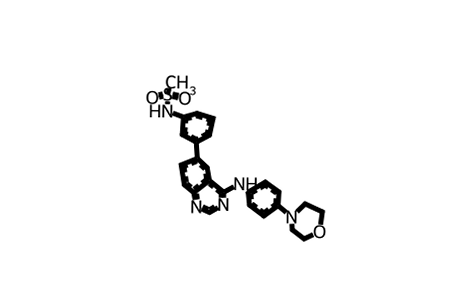 CS(=O)(=O)Nc1cccc(-c2ccc3ncnc(Nc4ccc(N5CCOCC5)cc4)c3c2)c1